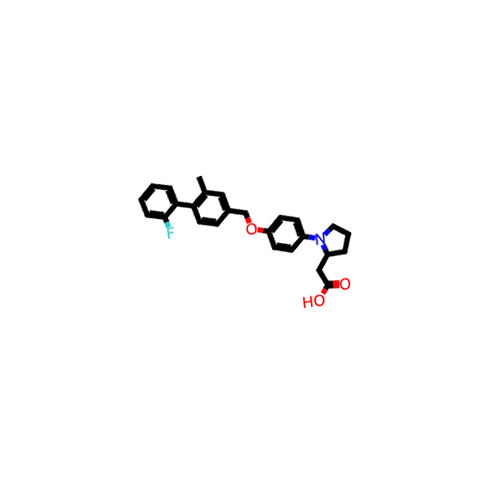 Cc1cc(COc2ccc(N3CCCC3CC(=O)O)cc2)ccc1-c1ccccc1F